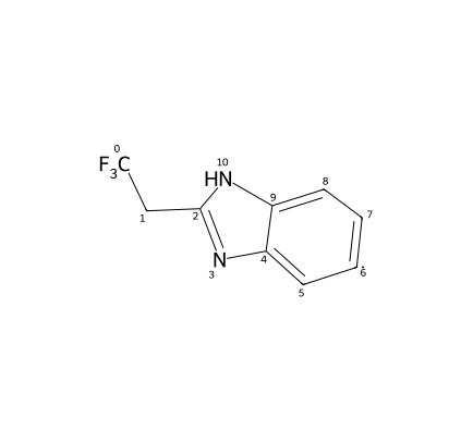 FC(F)(F)Cc1nc2c[c]ccc2[nH]1